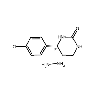 NN.O=C1NCC[C@H](c2ccc(Cl)cc2)N1